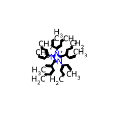 C=C/C=C\C(=C/C)c1n(C(/C=C\C)=C/C=C)c(C(/C=C\C)=C/C=C)[n+](C(/C=C\C)=C/C=C)[n+]1C(/C=C\C)=C/C=C